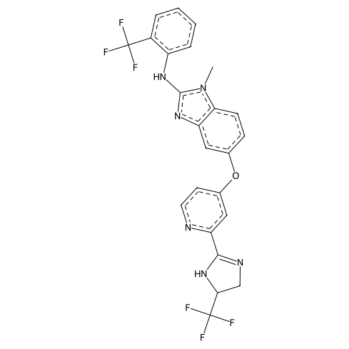 Cn1c(Nc2ccccc2C(F)(F)F)nc2cc(Oc3ccnc(C4=NCC(C(F)(F)F)N4)c3)ccc21